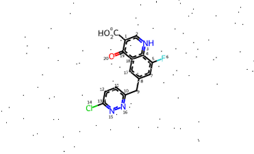 O=C(O)c1c[nH]c2c(F)cc(Cc3ccc(Cl)nn3)cc2c1=O